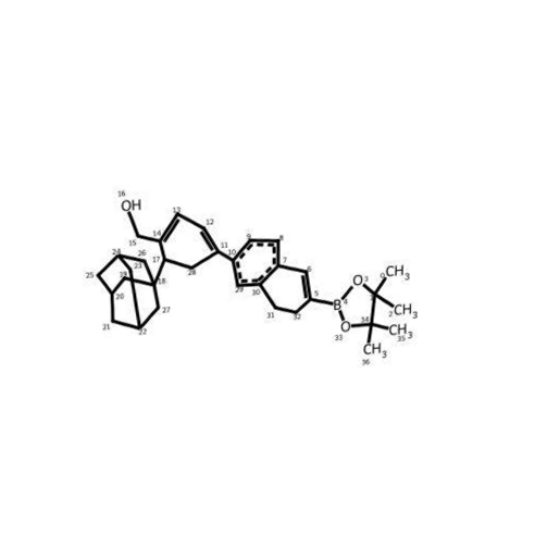 CC1(C)OB(C2=Cc3ccc(C4=CC=C(CO)C(C56CC7CC(CC(C7)C5)C6)C4)cc3CC2)OC1(C)C